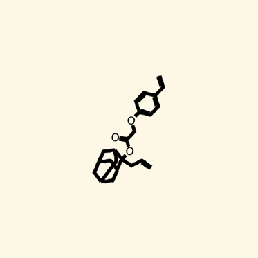 C=CCC1(OC(=O)COc2ccc(C=C)cc2)C2CC3CC(C2)CC1C3